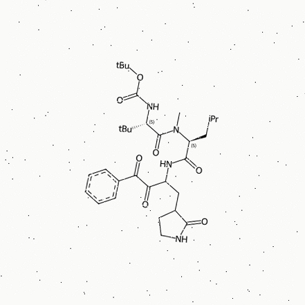 CC(C)C[C@@H](C(=O)NC(CC1CCNC1=O)C(=O)C(=O)c1ccccc1)N(C)C(=O)[C@@H](NC(=O)OC(C)(C)C)C(C)(C)C